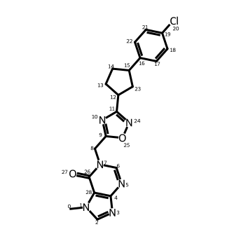 Cn1cnc2ncn(Cc3nc(C4CCC(c5ccc(Cl)cc5)C4)no3)c(=O)c21